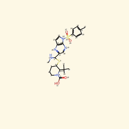 CNC(SC1CCCN(C(=O)O)C1C(C)(C)C)c1cnc2c(ccn2S(=O)(=O)c2ccc(C)cc2)n1